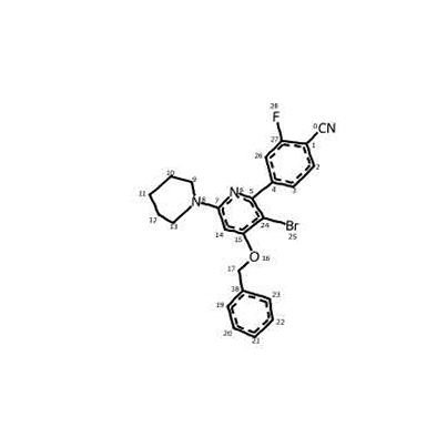 N#Cc1ccc(-c2nc(N3CCCCC3)cc(OCc3ccccc3)c2Br)cc1F